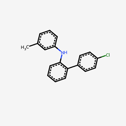 Cc1cccc(Nc2ccccc2-c2ccc(Cl)cc2)c1